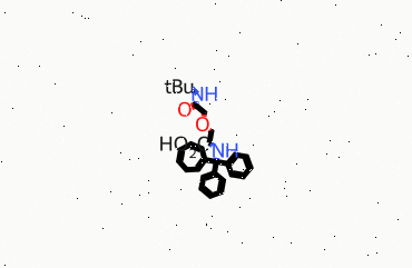 CC(C)(C)NC(=O)COCC(NC(C1=CCC=CC=C1)(c1ccccc1)c1ccccc1)C(=O)O